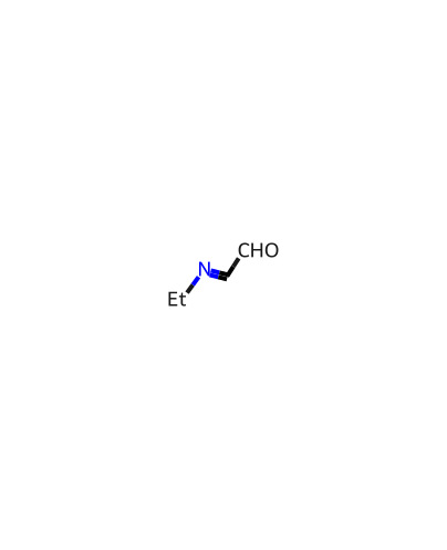 CC/N=C/C=O